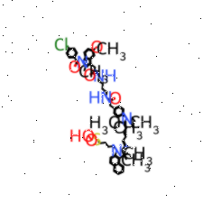 CCN1/C(=C/C=C/C=C/C2=[N+](CCCCSOO)c3ccc4ccccc4c3C2(C)C)C(C)(C)c2cc(CC(=O)NCCCCNC(=O)Cc3c(C)n(C(=O)c4ccc(Cl)cc4)c4ccc(OC)cc34)ccc21